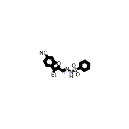 CCc1c(/C=N/NS(=O)(=O)c2ccccc2)oc2cc(C#N)ccc12